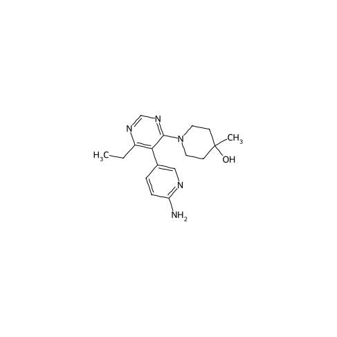 CCc1ncnc(N2CCC(C)(O)CC2)c1-c1ccc(N)nc1